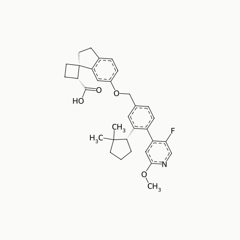 COc1cc(-c2ccc(COc3ccc4c(c3)[C@]3(CC4)CC[C@H]3C(=O)O)cc2[C@@H]2CCCC2(C)C)c(F)cn1